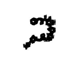 O=C(Cc1ccccc1)NC1=NNN([C@H]2CCC(c3nnc(NC(=O)Cc4cccc(N5CC(F)(F)C5)n4)s3)C2)S1